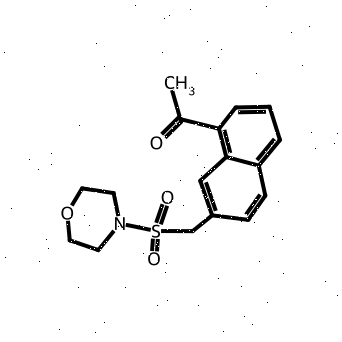 CC(=O)c1cccc2ccc(CS(=O)(=O)N3CCOCC3)cc12